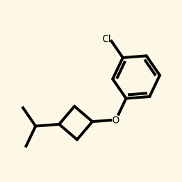 CC(C)C1CC(Oc2cccc(Cl)c2)C1